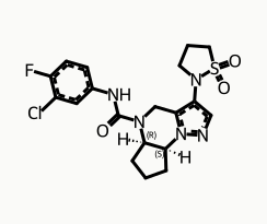 O=C(Nc1ccc(F)c(Cl)c1)N1Cc2c(N3CCCS3(=O)=O)cnn2[C@H]2CCC[C@H]21